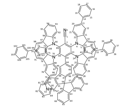 N#Cc1c(-n2c3ccccc3c3cc(-c4ccccc4)ccc32)c(-n2c3ccccc3c3cc(-c4ccccc4)ccc32)c(-c2ccc3c(c2)-c2ccncc2C32c3ccccc3-c3ccccc32)c(-n2c3ccccc3c3cc(-c4ccccc4)ccc32)c1-n1c2ccccc2c2cc(-c3ccccc3)ccc21